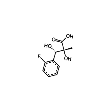 C[C@](O)(C(=O)O)[C@@H](O)c1ccccc1F